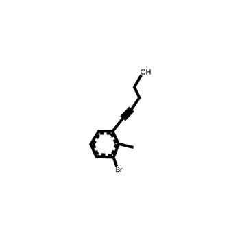 Cc1c(Br)cccc1C#CCCO